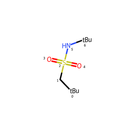 CC(C)(C)CS(=O)(=O)NC(C)(C)C